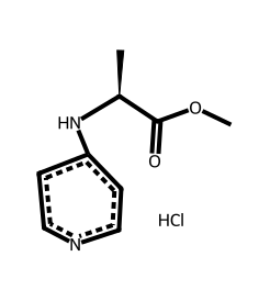 COC(=O)[C@H](C)Nc1ccncc1.Cl